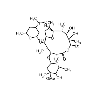 CC[C@H]1OC(=O)[C@H](C)[C@@H](OC2CC(C)(OC)C(O)C(C)O2)[C@H](C)[C@@H](OC2CC(N(C)C)CC(C)O2)[C@@]2(C)CC(C)=C(O2)[C@H](C)[C@@H](O)[C@]1(C)O